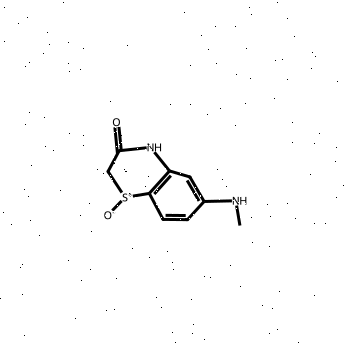 CNc1ccc2c(c1)NC(=O)C[S+]2[O-]